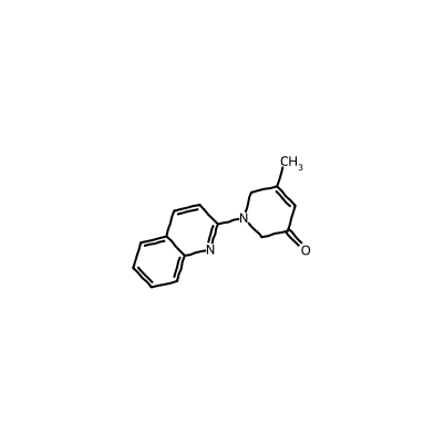 CC1=CC(=O)CN(c2ccc3ccccc3n2)C1